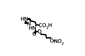 O=C(NC(Cc1c[nH]cn1)C(=O)O)OCCCCO[N+](=O)[O-]